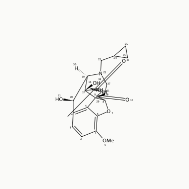 COc1ccc2c3c1OC1C(=O)NC(=O)NCC[C@@]4(O)[C@@H]([C@@H]2O)N(CC2CC2)CC[C@]314